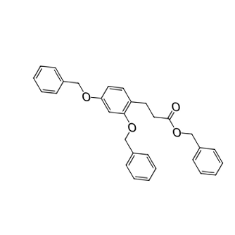 O=C(CCc1ccc(OCc2ccccc2)cc1OCc1ccccc1)OCc1ccccc1